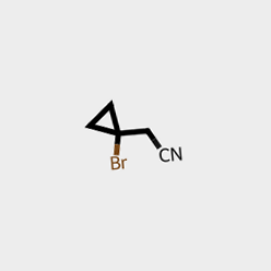 N#CCC1(Br)CC1